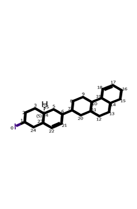 IC1CC[C@H]2CC(C3CCC4C(CCC5CCC=CC54)C3)C=CC2C1